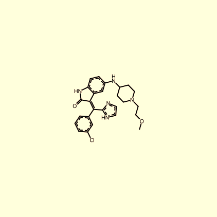 COCCN1CCC(Nc2ccc3c(c2)C(=C(c2cccc(Cl)c2)c2ncc[nH]2)C(=O)N3)CC1